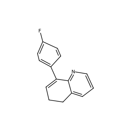 Fc1ccc(C2=CCCc3cccnc32)cc1